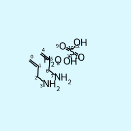 C=CCN.C=CCN.O.O=S(=O)(O)O